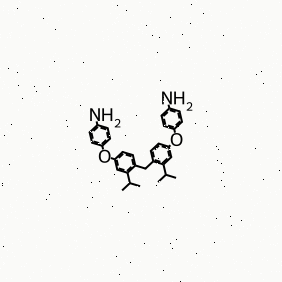 CC(C)c1cc(Oc2ccc(N)cc2)ccc1Cc1ccc(Oc2ccc(N)cc2)cc1C(C)C